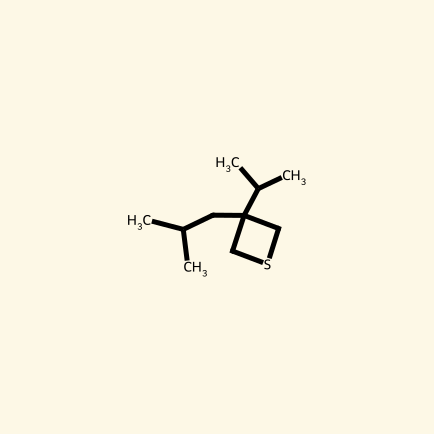 CC(C)CC1(C(C)C)CSC1